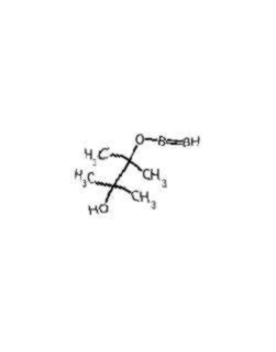 B=BOC(C)(C)C(C)(C)O